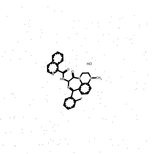 CN1CCN2C(=O)C(NC(=O)c3nccc4ccccc34)N=C(c3ccccc3F)c3cccc1c32.Cl